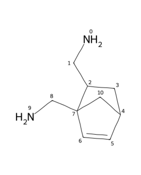 NCC1CC2C=CC1(CN)C2